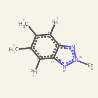 [2H]c1c(C)c(C)c([2H])c2nn(CC)nc12